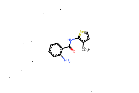 Nc1ccccc1C(=O)Nc1sccc1C(=O)O